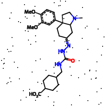 COc1ccc(C23CC/C(=N\NC(=O)NCC4CCC(C(=O)O)CC4)CC2N(C)CC3)cc1OC